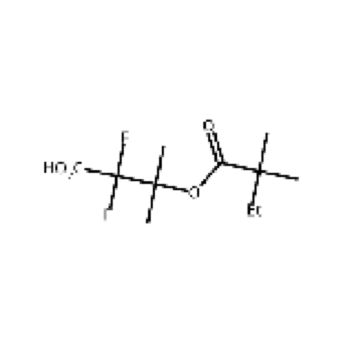 CCC(C)(C)C(=O)OC(C)(C)C(F)(F)C(=O)O